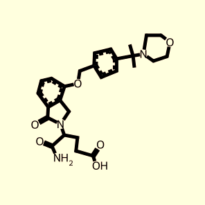 CC(C)(c1ccc(COc2cccc3c2CN(C(CCC(=O)O)C(N)=O)C3=O)cc1)N1CCOCC1